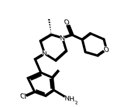 Cc1c(N)cc(Cl)cc1CN1CCN(C(=O)C2CCOCC2)[C@@H](C)C1